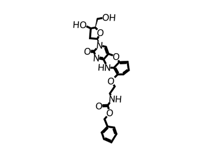 O=C(NCCOc1cccc2c1Nc1nc(=O)n([C@H]3CC(O)[C@@H](CO)O3)cc1O2)OCc1ccccc1